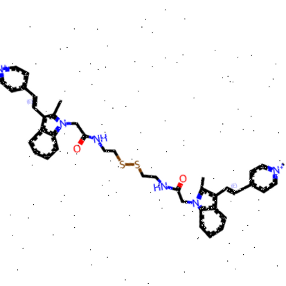 Cc1c(/C=C/c2cc[n+](C)cc2)c2ccccc2n1CC(=O)NCCSSCCNC(=O)Cn1c(C)c(/C=C/c2cc[n+](C)cc2)c2ccccc21